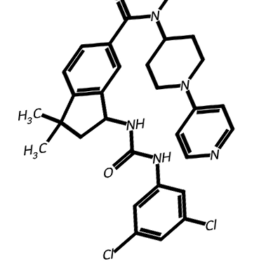 CN(C(=O)c1ccc2c(c1)C(NC(=O)Nc1cc(Cl)cc(Cl)c1)CC2(C)C)C1CCN(c2ccncc2)CC1